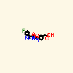 Cn1cc(C(=O)Nc2nc3ccc(CC(=O)O)cc3o2)c2ccc(F)cc21